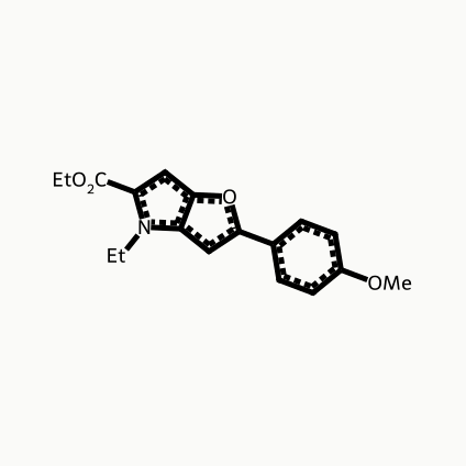 CCOC(=O)c1cc2oc(-c3ccc(OC)cc3)cc2n1CC